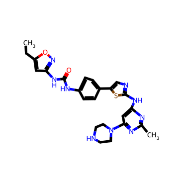 CCc1cc(NC(=O)Nc2ccc(-c3cnc(Nc4cc(N5CCNCC5)nc(C)n4)s3)cc2)no1